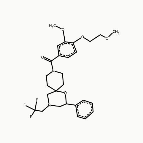 COCCOc1ccc(C(=O)N2CCC3(CC2)CN(CC(F)(F)F)CC(c2ccccc2)O3)cc1OC